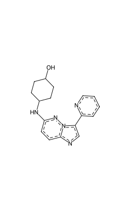 OC1CCC(Nc2ccc3ncc(-c4ccccn4)n3n2)CC1